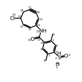 Cc1cc([SH](=O)=O)c(C)cc1C(=O)NC1=C/C#CCC(Cl)/C=C\1